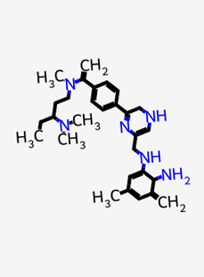 C=C1C=C(C)C=C(NCC2=CNCC(c3ccc(C(=C)N(C)CCC(CC)N(C)C)cc3)=N2)C1N